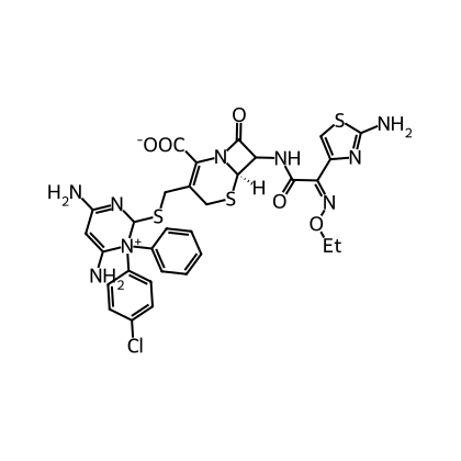 CCO/N=C(\C(=O)NC1C(=O)N2C(C(=O)[O-])=C(CSC3N=C(N)C=C(N)[N+]3(c3ccccc3)c3ccc(Cl)cc3)CS[C@H]12)c1csc(N)n1